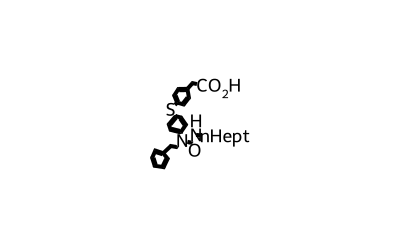 CCCCCCCNC(=O)N(CCc1ccccc1)c1ccc(Sc2ccc(CC(=O)O)cc2)cc1